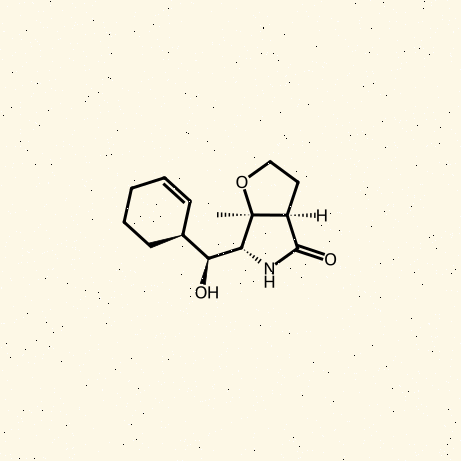 C[C@]12OCC[C@H]1C(=O)N[C@@H]2[C@@H](O)[C@@H]1C=CCCC1